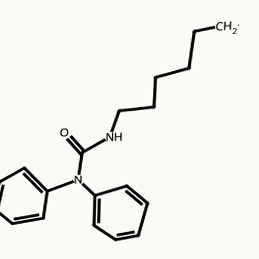 [CH2]CCCCCNC(=O)N(c1ccccc1)c1ccccc1